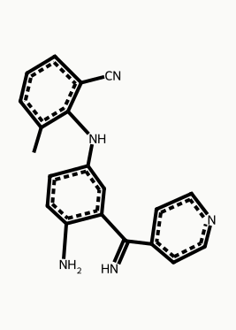 Cc1cccc(C#N)c1Nc1ccc(N)c(C(=N)c2ccncc2)c1